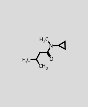 CC(CC(=O)N(C)C1CC1)C(F)(F)F